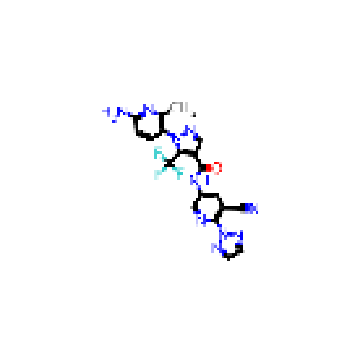 Cc1nc(N)ccc1-n1ncc(C(=O)Nc2cnc(-n3nccn3)c(C#N)c2)c1C(F)(F)F